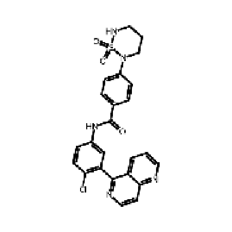 O=C(Nc1ccc(Cl)c(-c2nccc3ncccc23)c1)c1ccc(N2CCCNS2(=O)=O)cc1